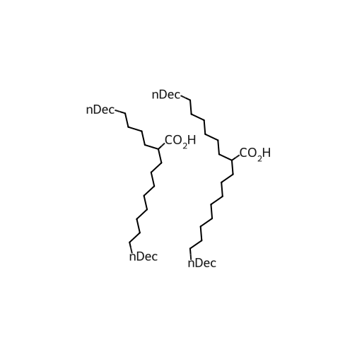 CCCCCCCCCCCCCCCCCCC(CCCCCCCCCCCCCC)C(=O)O.CCCCCCCCCCCCCCCCCCC(CCCCCCCCCCCCCCCC)C(=O)O